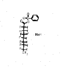 O=C(OS(=O)(=O)c1ccccc1)C(F)(F)C(F)(F)C(F)(F)C(F)(F)C(F)(F)C(F)(F)C(F)(F)C(F)(F)F.[NaH]